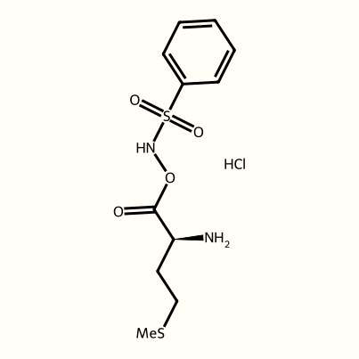 CSCC[C@H](N)C(=O)ONS(=O)(=O)c1ccccc1.Cl